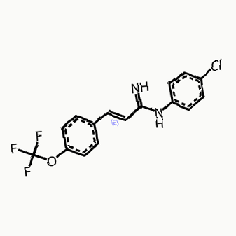 N=C(/C=C/c1ccc(OC(F)(F)F)cc1)Nc1ccc(Cl)cc1